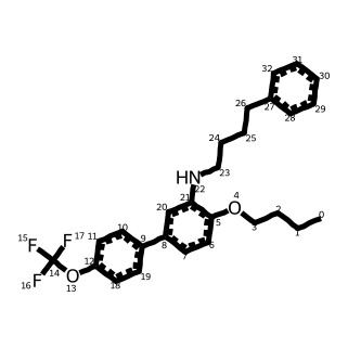 CCCCOc1ccc(-c2ccc(OC(F)(F)F)cc2)cc1NCCCCc1ccccc1